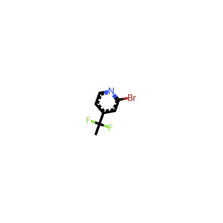 CC(F)(F)c1ccnc(Br)c1